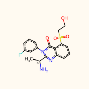 C[C@H](N)c1nc2cccc(S(=O)(=O)CCO)c2c(=O)n1-c1cccc(F)c1